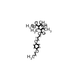 CCCOc1ccc(OCCCOC(=O)C2=C(C)NC(C)=C(C(=O)OC)C2C)cc1